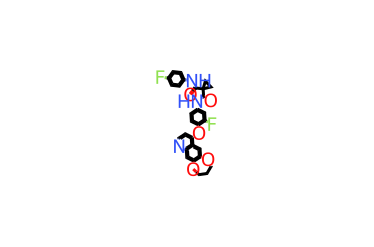 O=C(Nc1ccc(F)cc1)C1(C(=O)Nc2ccc(Oc3ccnc4cc5c(cc34)OCCCO5)c(F)c2)CC1